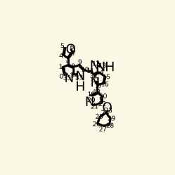 c1cc(-c2ccoc2)c2cc(-c3n[nH]c4ccc(-c5cncc(OC6CCCCC6)c5)nc34)[nH]c2n1